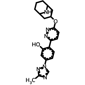 Cc1ncn(-c2ccc(-c3ccc(OC4CC5CCCC(C4)N5)nn3)c(O)c2)n1